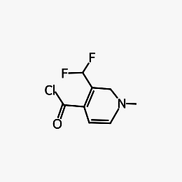 CN1C=CC(C(=O)Cl)=C(C(F)F)C1